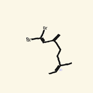 C=C(C=C(Br)Br)CC/C(C)=C\C